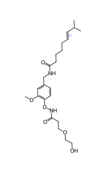 COc1cc(CNC(=O)CCCC/C=C/C(C)C)ccc1ONC(=O)CCOCCO